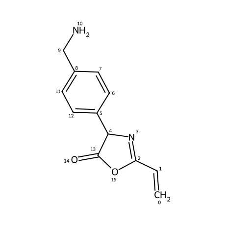 C=CC1=NC(c2ccc(CN)cc2)C(=O)O1